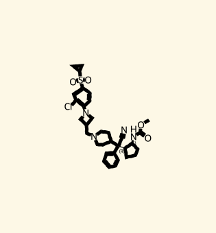 COC(=O)N[C@H]1CCC[C@@H]1C(C#N)(c1ccccc1)C1CCN(CC2CN(c3ccc(S(=O)(=O)C4CC4)cc3Cl)C2)CC1